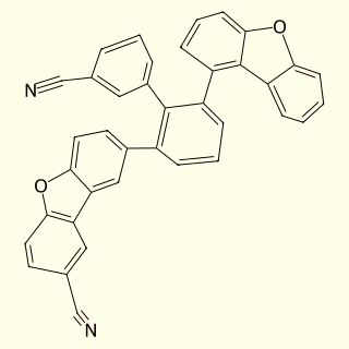 N#Cc1cccc(-c2c(-c3ccc4oc5ccc(C#N)cc5c4c3)cccc2-c2cccc3oc4ccccc4c23)c1